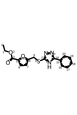 CCOC(=O)c1ccc(CSc2nnc(-c3ccccc3)[nH]2)o1